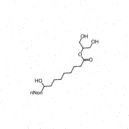 CCCCCCCCCC(O)CCCCCCCC(=O)OC(CO)CO